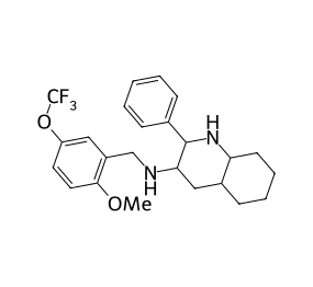 COc1ccc(OC(F)(F)F)cc1CNC1CC2CCCCC2NC1c1ccccc1